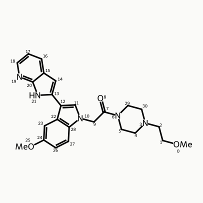 COCCN1CCN(C(=O)Cn2cc(-c3cc4cccnc4[nH]3)c3cc(OC)ccc32)CC1